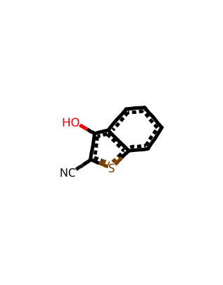 N#Cc1sc2ccccc2c1O